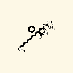 C1CCCCC1.CCCCCCCCCCC(CC(=O)OC(C)C)C(=O)O